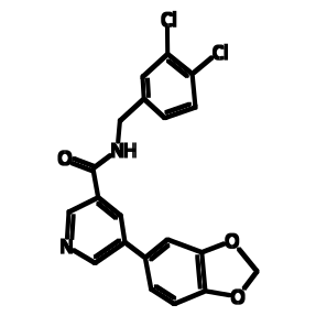 O=C(NCc1ccc(Cl)c(Cl)c1)c1cncc(-c2ccc3c(c2)OCO3)c1